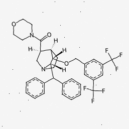 O=C([C@@H]1CN2CC[C@H]1[C@H](OCc1cc(C(F)(F)F)cc(C(F)(F)F)c1)[C@@H]2C(c1ccccc1)c1ccccc1)N1CCOCC1